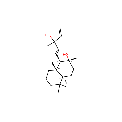 C=CC(C)(O)/C=C/[C@@H]1[C@@]2(C)CCCC(C)(C)[C@@H]2CC[C@@]1(C)O